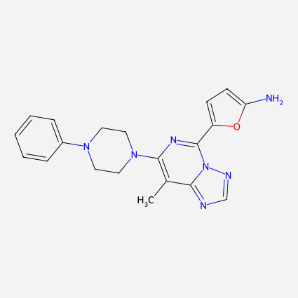 Cc1c(N2CCN(c3ccccc3)CC2)nc(-c2ccc(N)o2)n2ncnc12